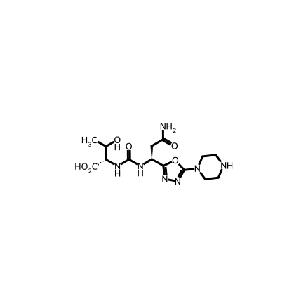 CC(O)[C@H](NC(=O)N[C@@H](CC(N)=O)c1nnc(N2CCNCC2)o1)C(=O)O